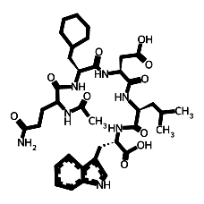 CC(=O)NC(CCC(N)=O)C(=O)N[C@@H](CC1CCCCC1)C(=O)N[C@@H](CC(=O)O)C(=O)N[C@@H](CC(C)C)C(=O)N[C@@H](Cc1c[nH]c2ccccc12)C(=O)O